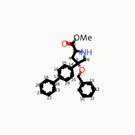 COC(=O)C1CC(OCc2ccccc2)(c2ccc(-c3ccccc3)cc2)CN1